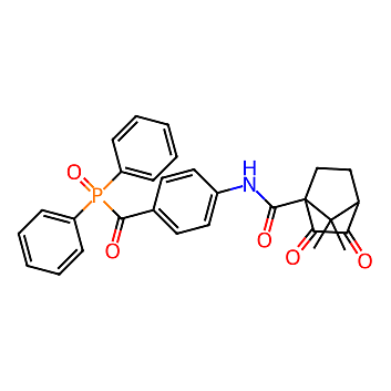 CC1(C)C2CCC1(C(=O)Nc1ccc(C(=O)P(=O)(c3ccccc3)c3ccccc3)cc1)C(=O)C2=O